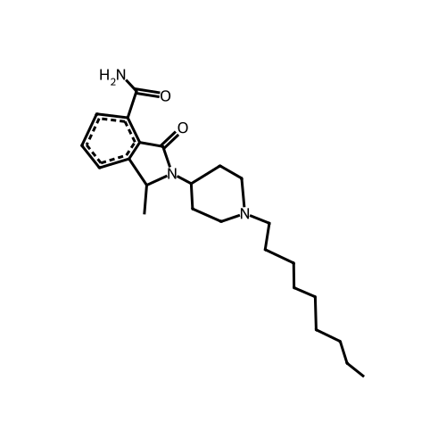 CCCCCCCCCN1CCC(N2C(=O)c3c(C(N)=O)cccc3C2C)CC1